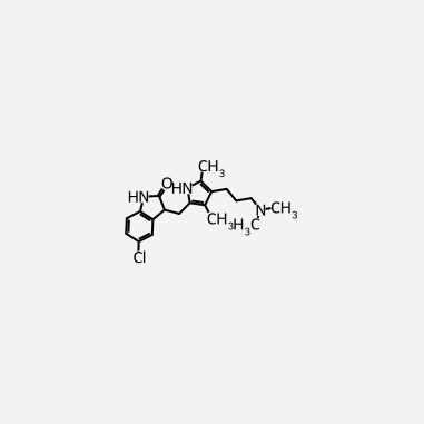 Cc1[nH]c(CC2C(=O)Nc3ccc(Cl)cc32)c(C)c1CCCN(C)C